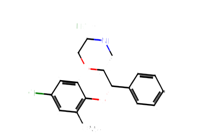 COc1cc(Cl)ccc1O[C@@H](c1ccccc1)[C@H]1CNCCO1.Cl